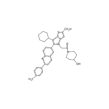 Cc1ccc(-c2ccc3cc(-c4c(C5CCCCC5)c5sc(C(=O)O)cc5n4CC(=O)N4CCC(O)CC4)ccc3n2)cc1